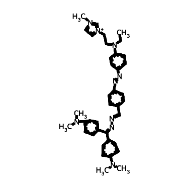 CCN(CC[n+]1ccn(C)c1)c1ccc(/N=N/c2ccc(/C=N/N=C(c3ccc(N(C)C)cc3)c3ccc(N(C)C)cc3)cc2)cc1